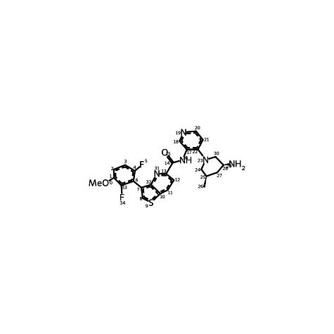 COc1ccc(F)c(-c2csc3ccc(C(=O)Nc4cnccc4N4C[C@H](C)C[C@H](N)C4)nc23)c1F